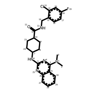 CN(C)c1nc(NC2CCC(C(=O)NCc3ccc(F)cc3Cl)CC2)nc2ccccc12